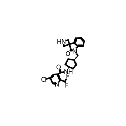 O=C(N[C@H]1CC[C@H](CN2C(=O)C3(CNC3)c3ccccc32)CC1)c1cc(Cl)cnc1C(F)F